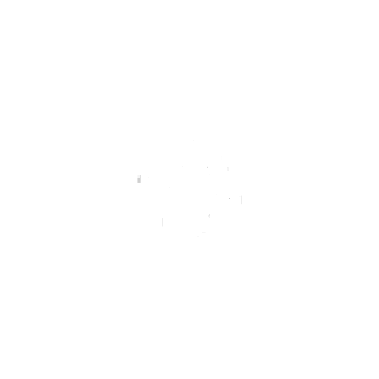 CC(C)c1c(F)c(O)c(Cl)c(F)c1F